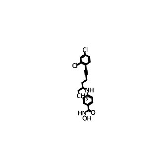 CCC(CCC#Cc1ccc(Cl)cc1Cl)Nc1ccc(C(=O)NO)cc1